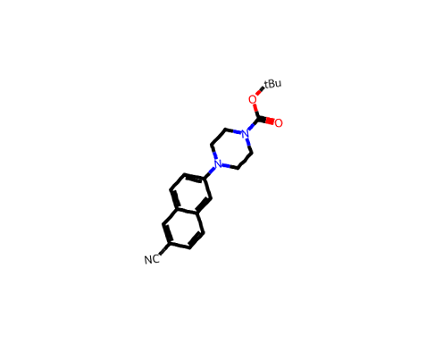 CC(C)(C)OC(=O)N1CCN(c2ccc3cc(C#N)ccc3c2)CC1